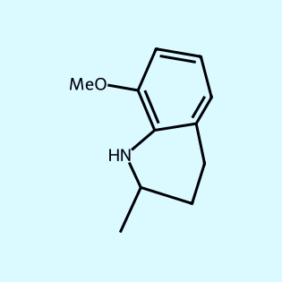 COc1cccc2c1NC(C)CC2